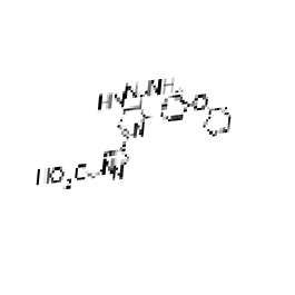 Nc1n[nH]c2cc(-c3cnn(CC(=O)O)c3)nc(-c3ccc(Oc4ccccc4)cc3)c12